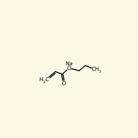 C=CC(=O)OCCC.[Na]